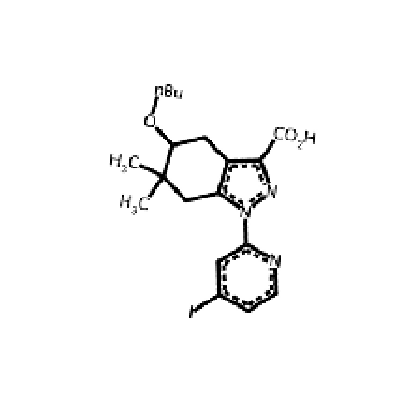 CCCCOC1Cc2c(C(=O)O)nn(-c3cc(I)ccn3)c2CC1(C)C